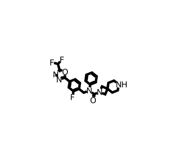 O=C(N1CC2(CCNCC2)C1)N(Cc1ccc(-c2nnc(C(F)F)o2)cc1F)c1ccccc1